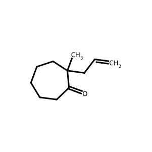 C=CCC1(C)CCCCCC1=O